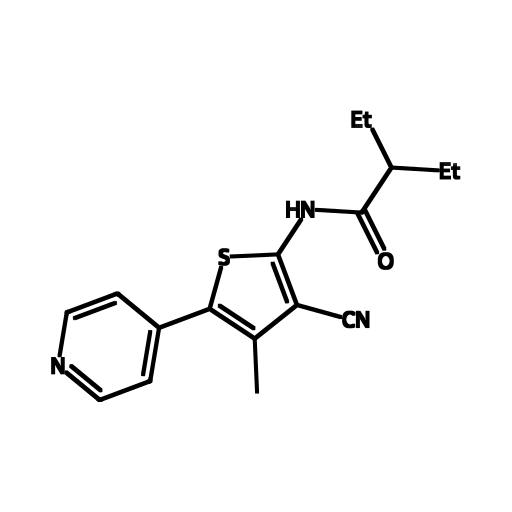 CCC(CC)C(=O)Nc1sc(-c2ccncc2)c(C)c1C#N